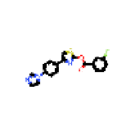 O=C(Oc1nc(-c2ccc(-n3ccnc3)cc2)cs1)c1cccc(F)c1